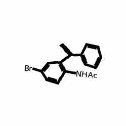 C=C(c1ccccc1)c1cc(Br)ccc1NC(C)=O